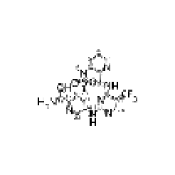 CN(c1cccnc1CNc1nc(Nc2ccc(C(N)O)nc2)ncc1C(F)(F)F)S(C)(=O)=O